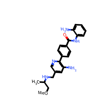 COCC(C)NCc1cnc(-c2ccc(C(=O)Nc3ccccc3N)cc2)c(N)c1